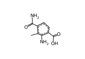 Cc1c(C(N)=O)ccc(C(=O)O)c1N